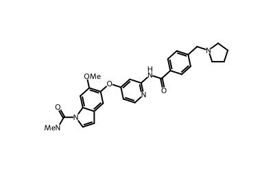 CNC(=O)n1ccc2cc(Oc3ccnc(NC(=O)c4ccc(CN5CCCC5)cc4)c3)c(OC)cc21